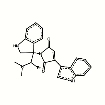 CCC(N(C)C)C1(N2C(=O)C=C(c3c[nH]c4ccccc34)C2=O)CNc2ccccc21